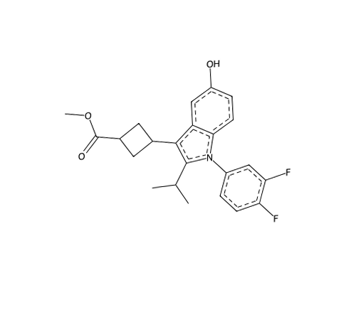 COC(=O)C1CC(c2c(C(C)C)n(-c3ccc(F)c(F)c3)c3ccc(O)cc23)C1